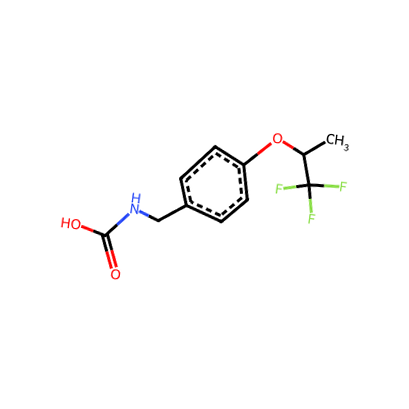 CC(Oc1ccc(CNC(=O)O)cc1)C(F)(F)F